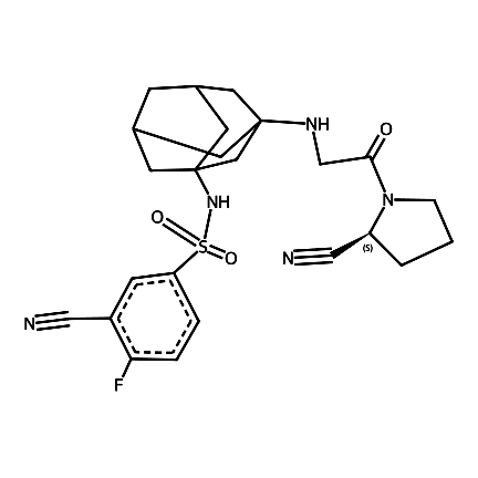 N#Cc1cc(S(=O)(=O)NC23CC4CC(CC(NCC(=O)N5CCC[C@H]5C#N)(C4)C2)C3)ccc1F